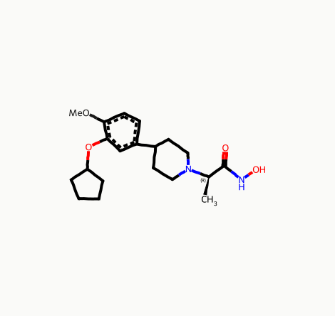 COc1ccc(C2CCN([C@H](C)C(=O)NO)CC2)cc1OC1CCCC1